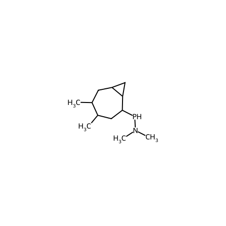 CC1CC2CC2C(PN(C)C)CC1C